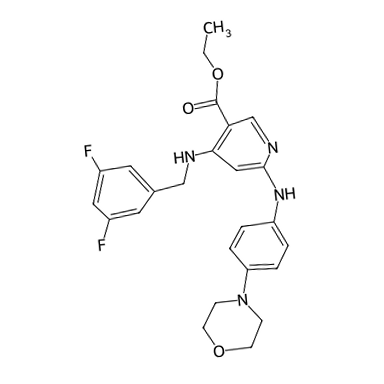 CCOC(=O)c1cnc(Nc2ccc(N3CCOCC3)cc2)cc1NCc1cc(F)cc(F)c1